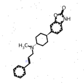 CN(C/C=C/c1ccccc1)[C@H]1CC[C@H](c2ccc3[nH]c(=O)oc3c2)CC1